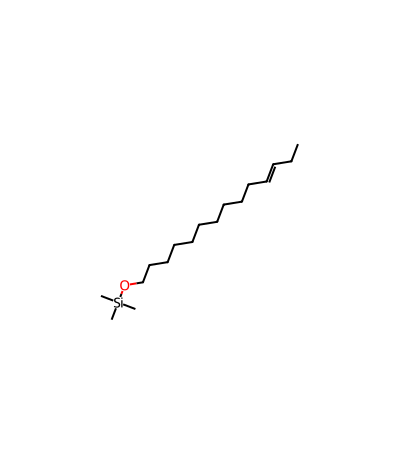 CCC=CCCCCCCCCCCO[Si](C)(C)C